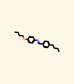 CCCCOc1ccc(/N=C/c2ccc(CCCC)cc2)cc1